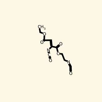 CCOC(=O)/C=C(\N=C=O)C(=O)OCCN=C=O